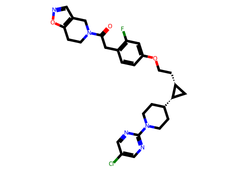 O=C(Cc1ccc(OCC[C@@H]2C[C@@H]2C2CCN(c3ncc(Cl)cn3)CC2)cc1F)N1CCc2oncc2C1